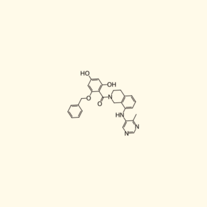 Cc1ncncc1Nc1cccc2c1CN(C(=O)c1c(O)cc(O)cc1OCc1ccccc1)CC2